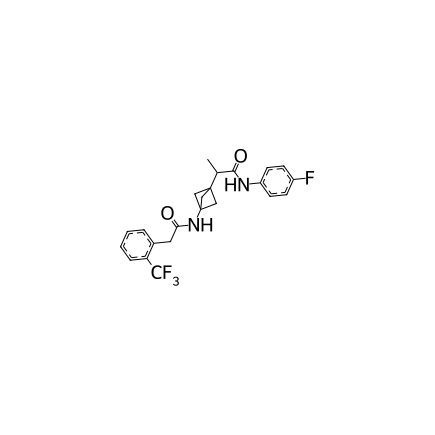 CC(C(=O)Nc1ccc(F)cc1)C12CC(NC(=O)Cc3ccccc3C(F)(F)F)(C1)C2